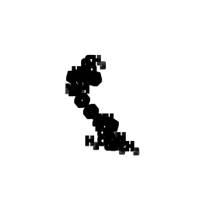 COC(=O)N[C@H](C(=O)N1CCC[C@H]1c1ncc(-c2ccc([C@H]3CC[C@H](c4cnc([C@@H]5CCCN5C(=O)[C@H](NC(=O)OC)c5ccccc5)[nH]4)CC3)cc2)[nH]1)C(C)C